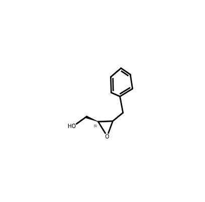 OC[C@@H]1OC1Cc1ccccc1